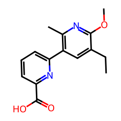 CCc1cc(-c2cccc(C(=O)O)n2)c(C)nc1OC